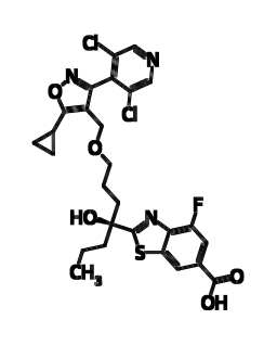 CCC[C@](O)(CCCOCc1c(-c2c(Cl)cncc2Cl)noc1C1CC1)c1nc2c(F)cc(C(=O)O)cc2s1